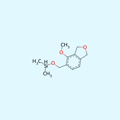 COc1c(CO[SiH](C)C)ccc2c1COC2